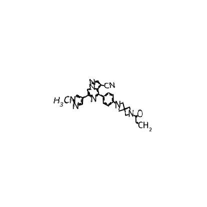 C=CC(=O)N1CC2(C1)CN(c1ccc(-c3nc(-c4cnn(C)c4)cn4ncc(C#N)c34)cc1)C2